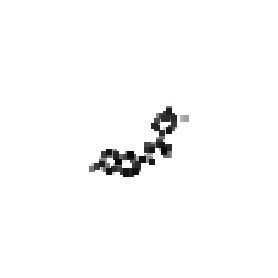 Cc1ccc2cc(C(C)OC(=O)C3CC4CC3C(C)C4C)ccc2c1